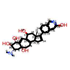 CN(C)[C@H]1C[C@]2(O)CCC3=C(C=C2[C@@H](O)[C@@H]1O)C(O)C[C@]1(C)C(c2ccc4cnc(O)cc4c2)=CCC31